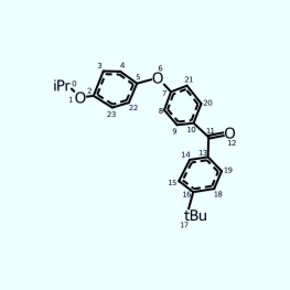 CC(C)Oc1ccc(Oc2ccc(C(=O)c3ccc(C(C)(C)C)cc3)cc2)cc1